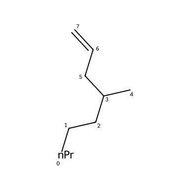 [CH2]CCCCC(C)CC=C